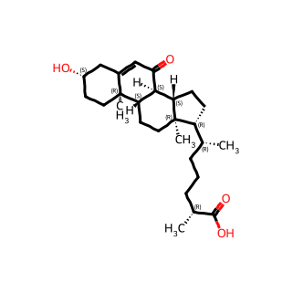 C[C@H](CCC[C@@H](C)[C@H]1CC[C@H]2[C@@H]3C(=O)C=C4C[C@@H](O)CC[C@]4(C)[C@H]3CC[C@]12C)C(=O)O